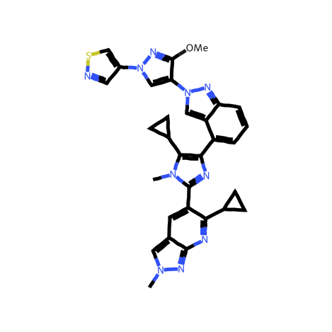 COc1nn(-c2cnsc2)cc1-n1cc2c(-c3nc(-c4cc5cn(C)nc5nc4C4CC4)n(C)c3C3CC3)cccc2n1